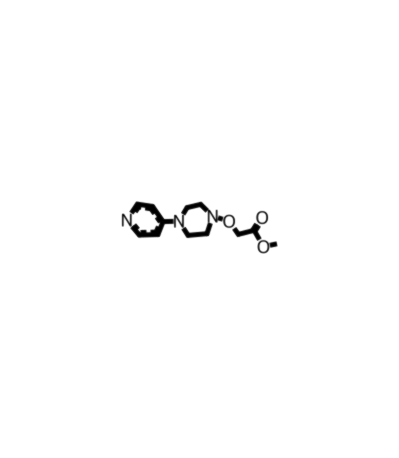 COC(=O)CON1CCN(c2ccncc2)CC1